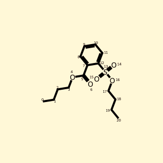 CCCCOC(=O)c1ccccc1S(=O)(=O)OCCCC